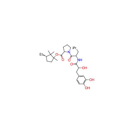 CC[C@@H]1CCC(C)(OC(=O)C2CCCN2C(=O)C(CC(C)C)NC(=O)C(O)Cc2ccc(O)c(O)c2)C1(C)C